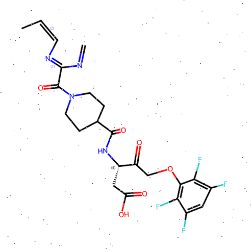 C=N/C(=N\C=C/C)C(=O)N1CCC(C(=O)N[C@@H](CC(=O)O)C(=O)COc2c(F)c(F)cc(F)c2F)CC1